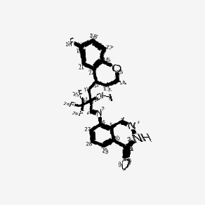 O=c1[nH]ncc2c(N=CC(O)(CC3CCOc4ccc(F)cc43)C(F)(F)F)cccc12